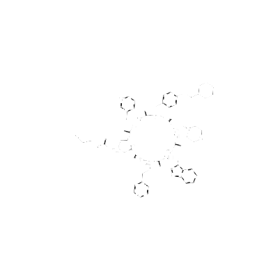 NCCNC(=O)O[C@@H]1C[C@H]2C(=O)N[C@H](CCc3ccccc3)C(=O)N[C@H](Cc3c[nH]c4ccccc34)C(=O)N[C@@H](CN3CCNCC3)C(=O)N[C@@H](Cc3ccc(OCC4CCCCC4)cc3)C(=O)N[C@@H](Cc3cccnc3)C(=O)N2C1